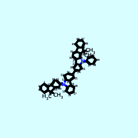 CC1(C)c2ccccc2-c2ccc(-n3c4ccccc4c4cc(-c5ccc6c(c5)c5ccc7c(c5n6-c5ccccc5)C(C)(C)c5ccccc5-7)ccc43)cc21